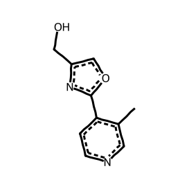 Cc1cnccc1-c1nc(CO)co1